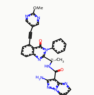 COc1ncc(C#Cc2cccc3nc([C@H](C)NC(=O)c4c(N)nn5cccnc45)n(-c4ccccc4)c(=O)c23)cn1